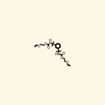 C=COCCOC(=O)NC(C)(C)c1cccc(C(C)(C)NC(=O)OCCOC=C)c1